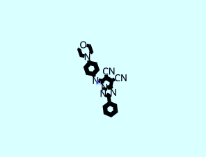 N#CC1=C(C#N)c2nc(-c3ccccc3)nn2/C1=N/c1ccc(N2CCOCC2)cc1